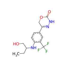 CCC(CO)Nc1ccc(C2=NNC(=O)OC2)cc1C(F)(F)F